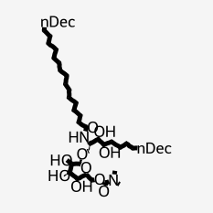 CCCCCCCCCCCCCCCCCCCCCCCCCC(=O)N[C@@H](CO[C@H]1OC(COC(=O)N(C)C)[C@H](O)[C@H](O)C1O)[C@H](O)[C@H](O)CCCCCCCCCCCCCC